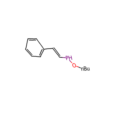 CCCCOPC=Cc1ccccc1